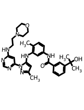 Cc1cc(Nc2cc(NC(=O)c3cccc(C(C)(C)O)c3)ccc2C)n(-c2cc(NCCN3CCOCC3)ncn2)n1